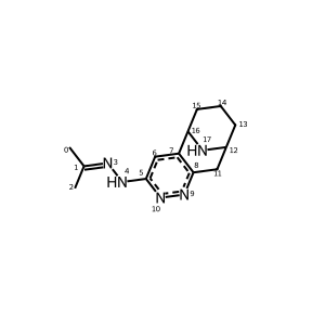 CC(C)=NNc1cc2c(nn1)CC1CCCC2N1